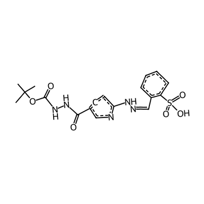 CC(C)(C)OC(=O)NNC(=O)c1ccc(N/N=C\c2ccccc2S(=O)(=O)O)nc1